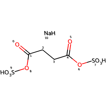 O=C(CCC(=O)OS(=O)(=O)O)OS(=O)(=O)O.[NaH]